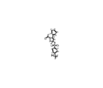 CC(=O)N1CC(C)(CS(=O)(=O)c2ccc(C(F)(F)F)cc2)C=C1c1ccccc1